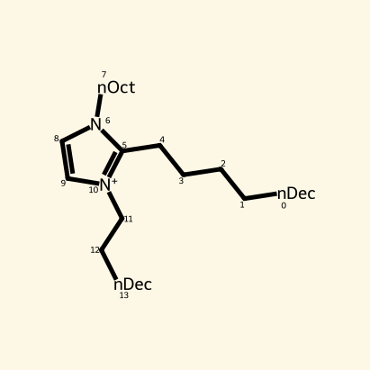 CCCCCCCCCCCCCCc1n(CCCCCCCC)cc[n+]1CCCCCCCCCCCC